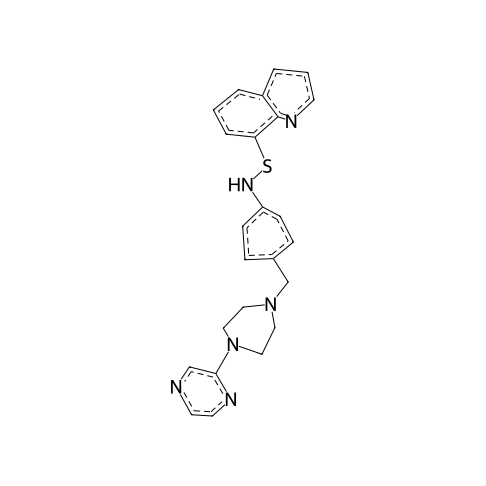 c1cnc2c(SNc3ccc(CN4CCN(c5cnccn5)CC4)cc3)cccc2c1